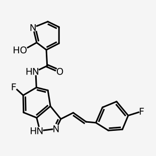 O=C(Nc1cc2c(C=Cc3ccc(F)cc3)n[nH]c2cc1F)c1cccnc1O